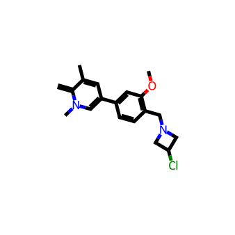 C=C1C(C)=CC(c2ccc(CN3CC(Cl)C3)c(OC)c2)=CN1C